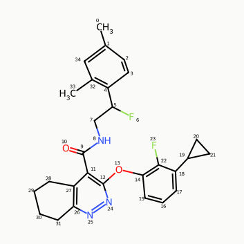 Cc1ccc(C(F)CNC(=O)c2c(Oc3cccc(C4CC4)c3F)nnc3c2CCCC3)c(C)c1